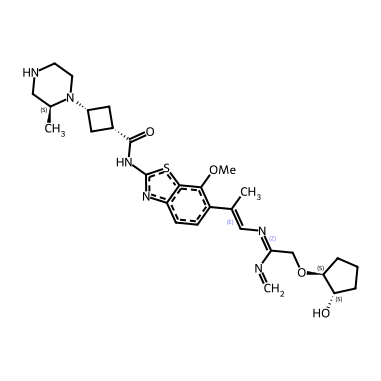 C=N/C(CO[C@H]1CCC[C@@H]1O)=N\C=C(/C)c1ccc2nc(NC(=O)[C@H]3C[C@@H](N4CCNC[C@@H]4C)C3)sc2c1OC